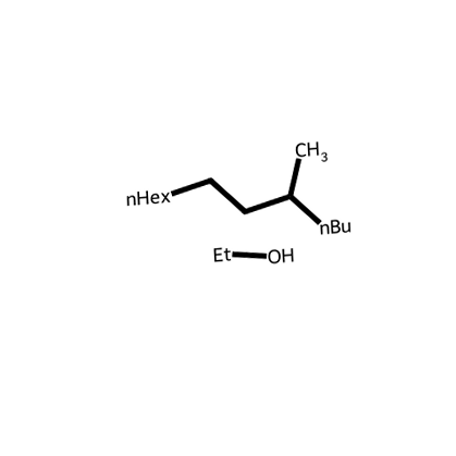 CCCCCCCCC(C)CCCC.CCO